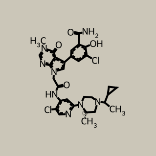 CC(C1CC1)N1CCN(c2cc(NC(=O)Cn3cc(-c4cc(Cl)c(O)c(C(N)=O)c4)c4c(=O)n(C)cnc43)c(Cl)cn2)[C@@H](C)C1